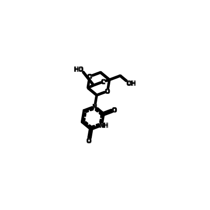 O=c1ccn(C2OC3(CO)COC2C(O)C3)c(=O)[nH]1